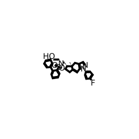 C[C@]12Cc3cnn(-c4ccc(F)cc4)c3C=C1CC[C@@H]2CN(CCO)S(=O)(=O)c1ccccc1-c1ccccc1